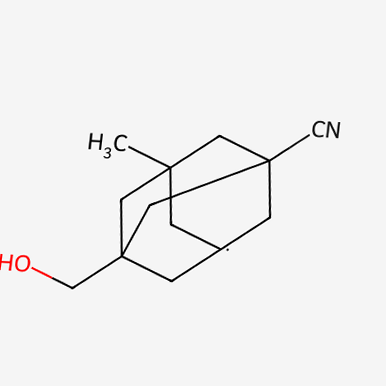 CC12C[C]3CC(C#N)(C1)CC(CO)(C3)C2